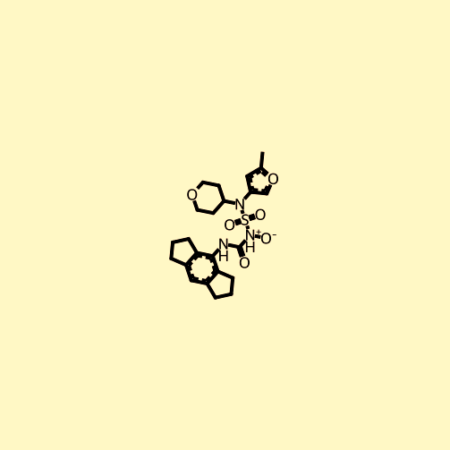 Cc1cc(N(C2CCOCC2)S(=O)(=O)[NH+]([O-])C(=O)Nc2c3c(cc4c2CCC4)CCC3)co1